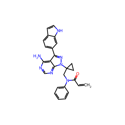 C=CC(=O)N(CC1(n2nc(-c3ccc4cc[nH]c4c3)c3c(N)ncnc32)CC1)c1ccccc1